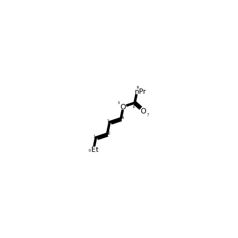 CCC=CC=COC(=O)CCC